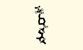 Cc1nc(-c2csc(NC3CCC(CNS(=O)(=O)N(C)C)CC3)n2)c(C)s1